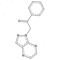 O=C(Cn1ncc2nccnc21)c1ccccc1